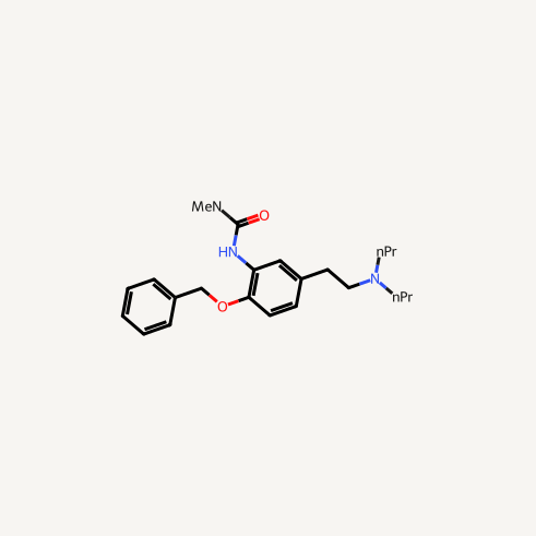 CCCN(CCC)CCc1ccc(OCc2ccccc2)c(NC(=O)NC)c1